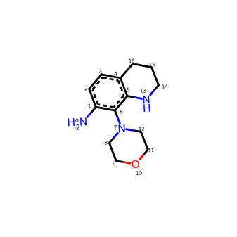 Nc1ccc2c(c1N1CCOCC1)NCCC2